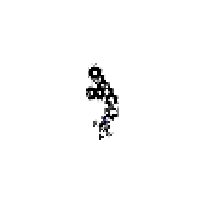 O=C1NC(=O)/C(=C/c2ccnc(N3CCC(CNCc4cc5ccccc5nc4-c4cccc5cnccc45)CC3)n2)S1